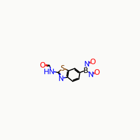 O=CNc1nc2ccc(B(N=O)N=O)cc2s1